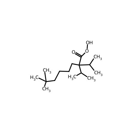 CC(C)C(CCCCC(C)(C)C)(C(=O)OO)C(C)C